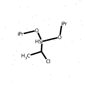 CC(C)O[SiH](OC(C)C)C(C)Cl